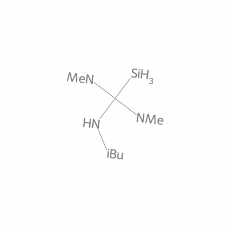 CCC(C)NC([SiH3])(NC)NC